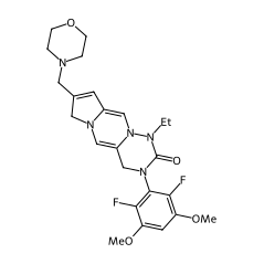 CCN1C(=O)N(c2c(F)c(OC)cc(OC)c2F)CC2=CN3CC(CN4CCOCC4)=CC3=CN21